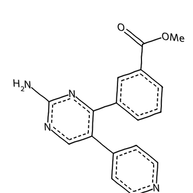 COC(=O)c1cccc(-c2nc(N)ncc2-c2ccncc2)c1